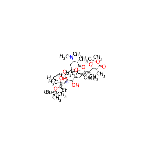 C=CCOCC1CC(N(C)C)C(C)[C@H](O[C@H]([C@@H](C)C2=C(C)C(=O)OC(C)(C)O2)[C@@](C)(C[C@@H](C)C(O)/C(C)=C/[C@](C)(O)[C@@H](CC)O[Si](C)(C)C(C)(C)C)OC)O1